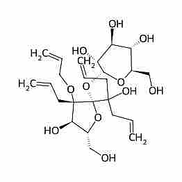 C=CCO[C@@]1(CC=C)[C@H](O)[C@@H](CO)O[C@]1(O[C@H]1O[C@H](CO)[C@@H](O)[C@H](O)[C@H]1O)C(O)(CC=C)CC=C